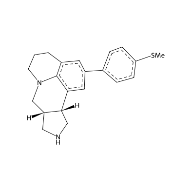 CSc1ccc(-c2cc3c4c(c2)[C@@H]2CNC[C@@H]2CN4CCC3)cc1